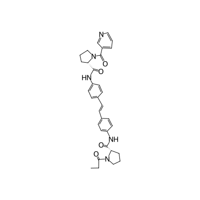 CCC(=O)N1CCC[C@H]1C(=O)Nc1ccc(/C=C/c2ccc(NC(=O)[C@@H]3CCCN3C(=O)c3cccnc3)cc2)cc1